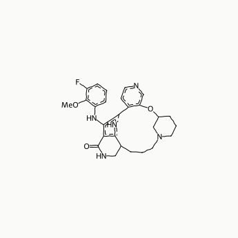 COc1c(F)cccc1Nc1c2[nH]c3c1C(=O)NCC3CCCN1CCCC(C1)Oc1cnccc1-2